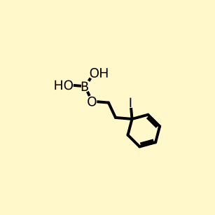 OB(O)OCCC1(I)C=CC=CC1